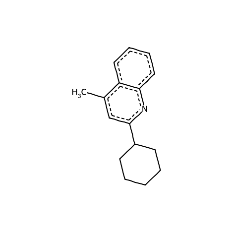 Cc1cc(C2CCCCC2)nc2ccccc12